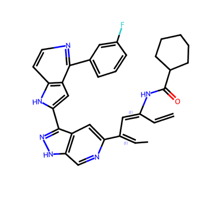 C=C/C(=C\C(=C/C)c1cc2c(-c3cc4c(-c5cccc(F)c5)nccc4[nH]3)n[nH]c2cn1)NC(=O)C1CCCCC1